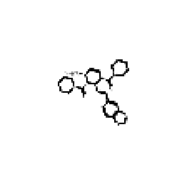 CCCCC[C@H]1C=C[C@@H](C(=O)N2CCCCC2)[C@@H](/C=C/c2ccc3c(c2)OCO3)[C@@H]1C(=O)N1CCCCC1